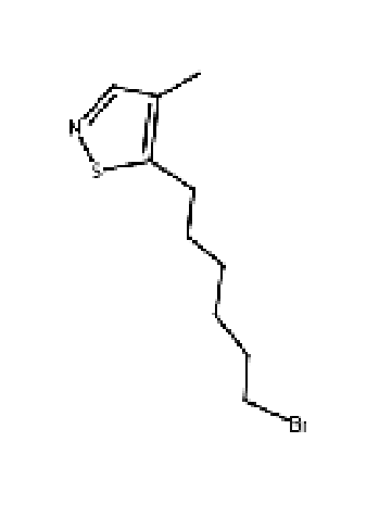 Cc1cnsc1CCCCCCBr